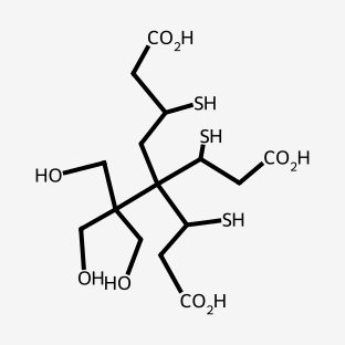 O=C(O)CC(S)CC(C(S)CC(=O)O)(C(S)CC(=O)O)C(CO)(CO)CO